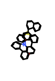 c1ccc(-c2ccccc2N(c2ccc(-c3cccc4ccccc34)cc2)c2ccccc2-c2cccc3sc4ccccc4c23)cc1